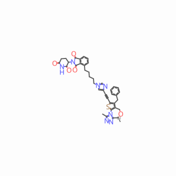 Cc1nnc2n1-c1sc(C#Cc3cn(CCCCCc4cccc5c4C(=O)N(C4CCC(=O)NC4=O)C5=O)cn3)c(Cc3ccccc3)c1CO[C@H]2C